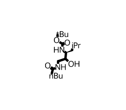 CCCCC(=O)NCC(O)[C@H](CC(C)C)NC(=O)OC(C)(C)C